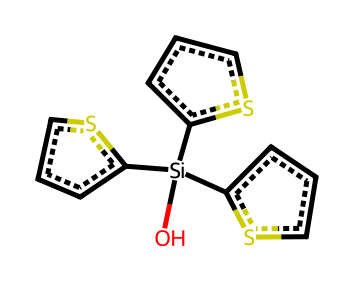 O[Si](c1cccs1)(c1cccs1)c1cccs1